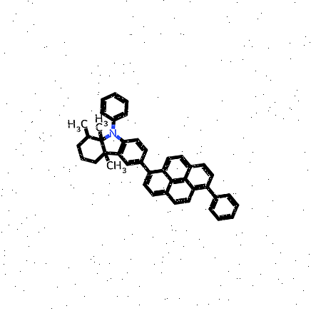 CC1CCCC2(C)c3cc(-c4ccc5ccc6c(-c7ccccc7)ccc7ccc4c5c76)ccc3N(c3ccccc3)C12C